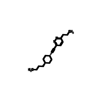 CCCC[C@H]1CC[C@H](C#Cc2ccc(CCC)nn2)CC1